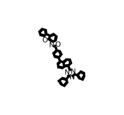 c1ccc(-c2nc(-c3ccccc3)nc(-c3cccc4c(-c5ccc(-c6nc7c(ccc8c9ccccc9oc87)o6)cc5)cccc34)n2)cc1